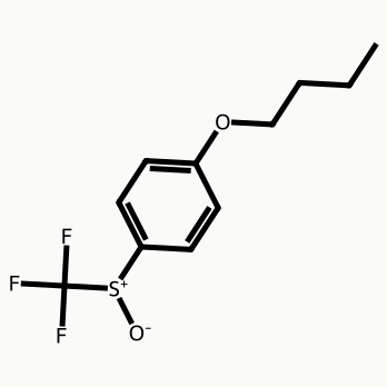 CCCCOc1ccc([S+]([O-])C(F)(F)F)cc1